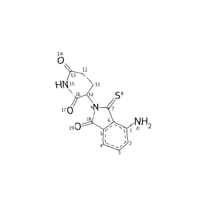 Nc1cccc2c1C(=S)N(C1CCC(=O)NC1=O)C2=O